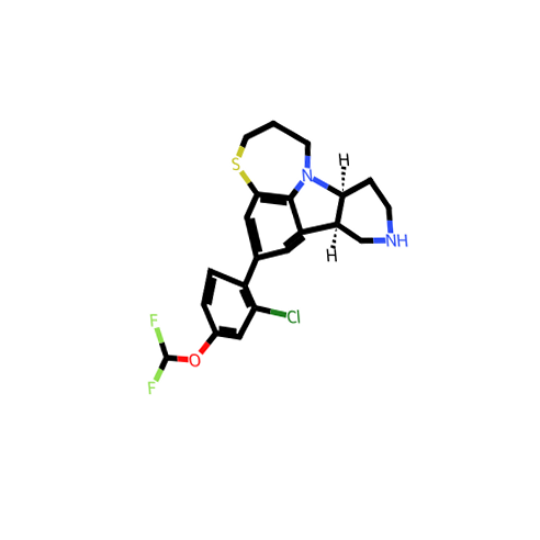 FC(F)Oc1ccc(-c2cc3c4c(c2)[C@@H]2CNCC[C@@H]2N4CCCS3)c(Cl)c1